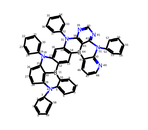 c1ccc(N2c3ccccc3B3c4cc5c(cc4N(c4ccccc4)c4cccc2c43)N(c2ccccc2)c2ncnc3c2B5c2cccnc2N3c2ccccc2)cc1